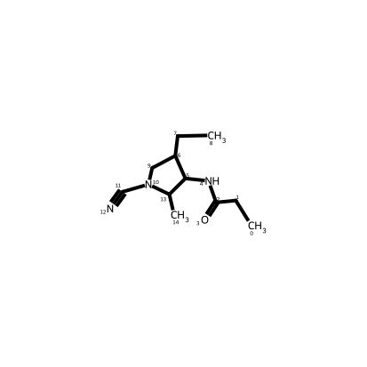 CCC(=O)NC1C(CC)CN(C#N)C1C